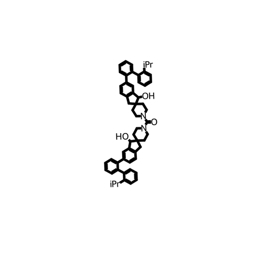 CC(C)c1ccccc1-c1ccccc1-c1ccc2c(c1)C(O)C1(CCN(C(=O)N3CCC4(CC3)Cc3ccc(-c5ccccc5-c5ccccc5C(C)C)cc3C4O)CC1)C2